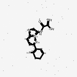 N=C(S)C(=O)Nc1cnc2ccc(C3=C(F)CCC=C3)nn12